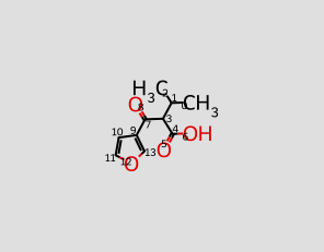 CC(C)C(C(=O)O)C(=O)c1ccoc1